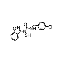 O=C(NCc1ccc(Cl)cc1)N(S)c1noc2ccccc12